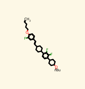 C=CCCCOc1ccc(/C=C/C2CCC(c3ccc(C4CCC(OCCCC)CC4)c(F)c3F)CC2)cc1F